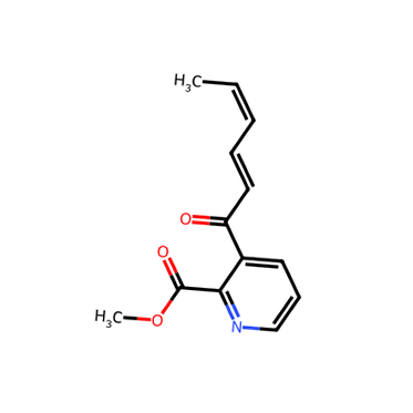 C/C=C\C=C\C(=O)c1cccnc1C(=O)OC